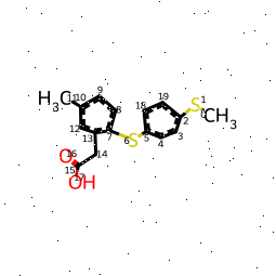 CSc1ccc(Sc2ccc(C)cc2CC(=O)O)cc1